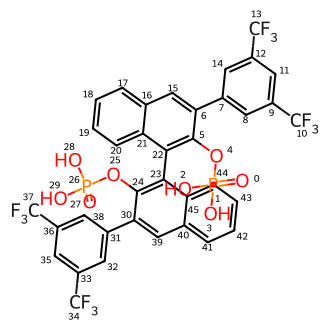 O=P(O)(O)Oc1c(-c2cc(C(F)(F)F)cc(C(F)(F)F)c2)cc2ccccc2c1-c1c(OP(=O)(O)O)c(-c2cc(C(F)(F)F)cc(C(F)(F)F)c2)cc2ccccc12